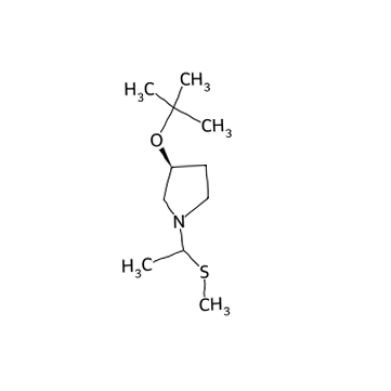 CSC(C)N1CC[C@H](OC(C)(C)C)C1